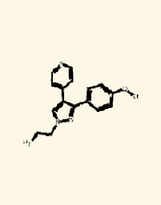 CCOc1ccc(-c2nn(CC[18F])cc2-c2ccncc2)cc1